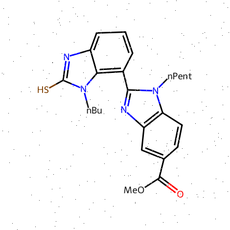 CCCCCn1c(-c2cccc3nc(S)n(CCCC)c23)nc2cc(C(=O)OC)ccc21